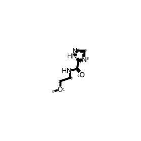 COCCNC(=O)c1ncn[nH]1